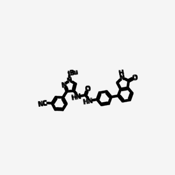 CC(C)(C)n1cc(NC(=O)Nc2ccc(-c3cccc4c3CNC4=O)cc2)c(-c2cccc(C#N)c2)n1